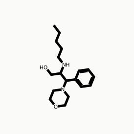 CCCCCNC(CO)C(c1ccccc1)N1CCOCC1